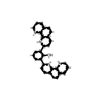 Oc1c(-c2ccc3ccc4cccnc4c3n2)cccc1-c1ccc2ccc3cccnc3c2n1